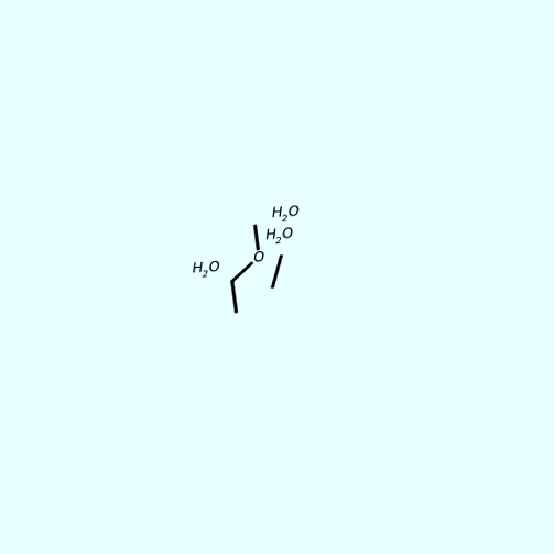 CC.CCOC.O.O.O